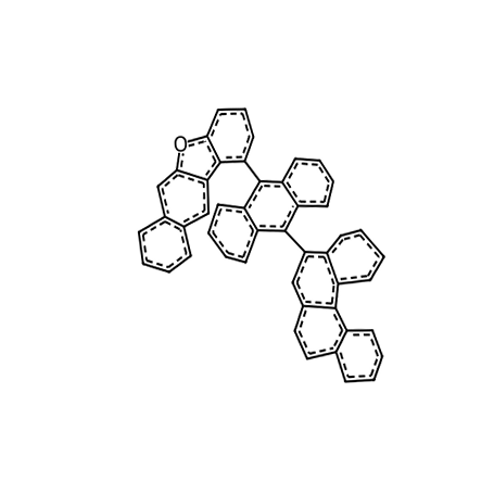 c1ccc2cc3c(cc2c1)oc1cccc(-c2c4ccccc4c(-c4cc5ccc6ccccc6c5c5ccccc45)c4ccccc24)c13